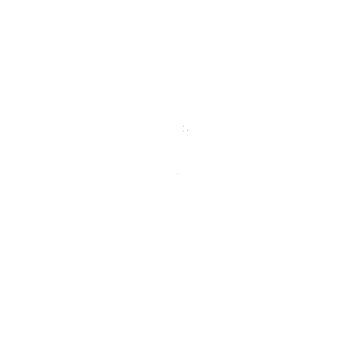 Cc1ccccc1C(=O)C[N+]12CCC(CC1)C(OC(=O)OC(c1cccc(F)c1)c1cccc(F)c1)C2